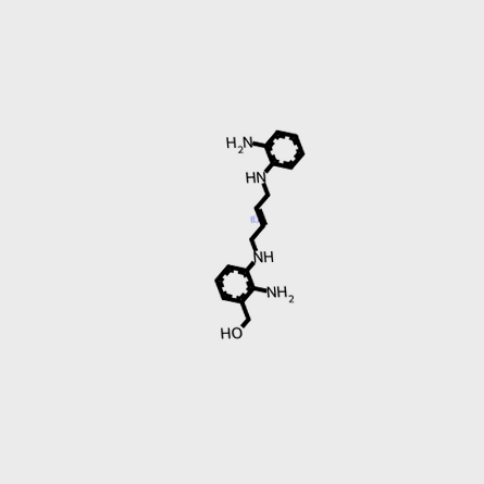 Nc1ccccc1NC/C=C/CNc1cccc(CO)c1N